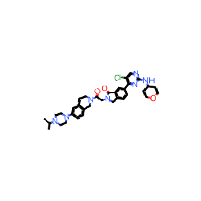 CC(C)N1CCN(c2ccc3c(c2)CCN(C(=O)CN2Cc4ccc(-c5nc(NC6CCOCC6)ncc5Cl)cc4C2=O)C3)CC1